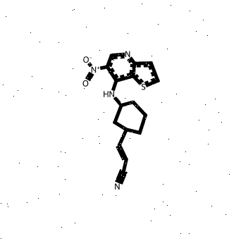 N#C/C=C/C1CCCC(Nc2c([N+](=O)[O-])cnc3ccsc23)C1